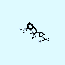 COC(=O)C(Cc1cccc(N)c1)[C@H]1CCN(C(=O)O)C1